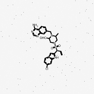 C=CC(c1cc2ccc(Cl)cc2[nH]1)S(=O)(=O)N1CC(C)N(Cc2ccc3c(N)ncnc3c2)C(C=O)C1